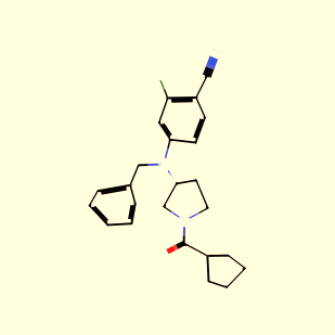 N#Cc1ccc(N(Cc2ccccc2)[C@H]2CCN(C(=O)C3CCCC3)C2)cc1Cl